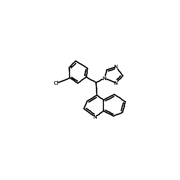 Clc1cccc(C(c2ccnc3ccccc23)n2cncn2)c1